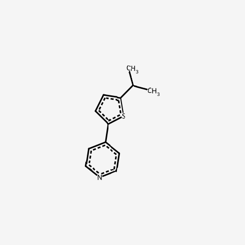 CC(C)c1ccc(-c2ccncc2)s1